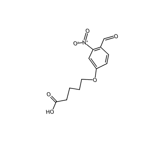 O=Cc1ccc(OCCCCC(=O)O)cc1[N+](=O)[O-]